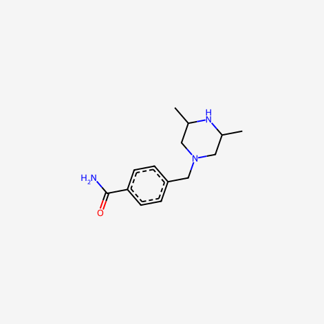 CC1CN(Cc2ccc(C(N)=O)cc2)CC(C)N1